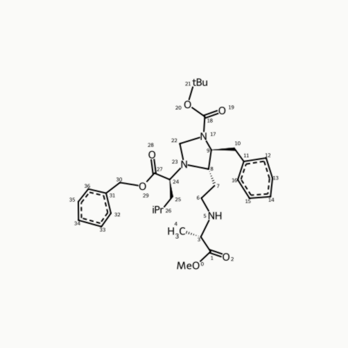 COC(=O)[C@H](C)NCC[C@H]1[C@H](Cc2ccccc2)N(C(=O)OC(C)(C)C)CN1[C@@H](CC(C)C)C(=O)OCc1ccccc1